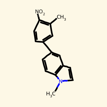 Cc1cc(-c2ccc3c(ccn3C)c2)ccc1[N+](=O)[O-]